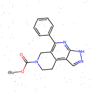 CC(C)(C)OC(=O)N1CCc2c(c(-c3ccccc3)nc3[nH]ncc23)C1